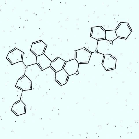 c1ccc(-c2ccc(N(c3ccccc3)c3cc4c5cccc6c5c(cc4c4ccccc34)-c3ccc(N(c4ccccc4)c4cccc5c4oc4ccccc45)cc3O6)cc2)cc1